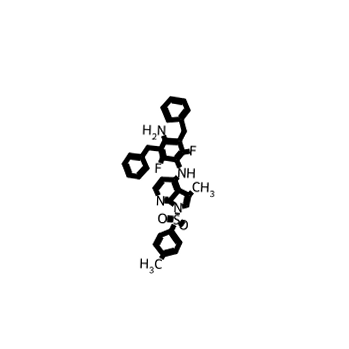 Cc1ccc(S(=O)(=O)n2cc(C)c3c(Nc4c(F)c(Cc5ccccc5)c(N)c(Cc5ccccc5)c4F)ccnc32)cc1